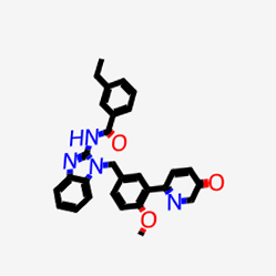 CCc1cccc(C(=O)Nc2nc3ccccc3n2Cc2ccc(OC)c(C3=NCC(=O)C=C3)c2)c1